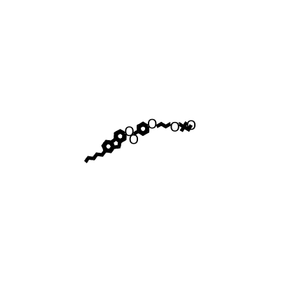 CCCCCc1ccc2c(c1)Cc1cc(OC(=O)c3ccc(OCCCCOCC4(C)COC4)cc3)ccc1-2